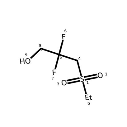 CCS(=O)(=O)CC(F)(F)[CH]O